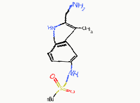 CCCCS(=O)(=O)Nc1ccc2[nH]c(CN)c(C)c2c1